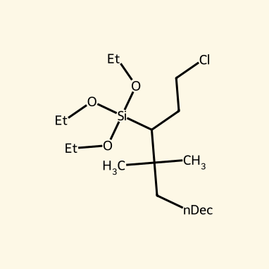 CCCCCCCCCCCC(C)(C)C(CCCl)[Si](OCC)(OCC)OCC